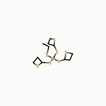 CC[S][Sn]([S]C1CCS1)([S]C1CCS1)[S]C1CCS1